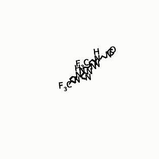 FC(F)(F)c1ccc(Nc2ccnc3nc(-c4nnc(NCCCN5CCOCC5)cc4C(F)(F)F)cnc23)nc1